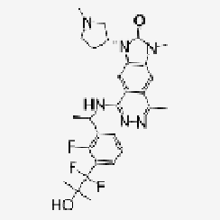 Cc1nnc(N[C@H](C)c2cccc(C(F)(F)C(C)(C)O)c2F)c2cc3c(cc12)n(C)c(=O)n3[C@@H]1CCN(C)C1